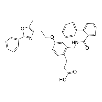 Cc1oc(-c2ccccc2)nc1CCOc1ccc(CCC(=O)O)c(CNC(=O)c2ccccc2-c2ccccc2)c1